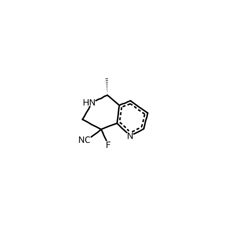 C[C@H]1NCC(F)(C#N)c2ncccc21